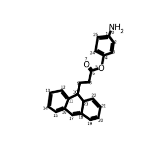 Nc1ccc(OC(=O)CCC2c3ccccc3C=C3C=CC=CC32)cc1